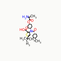 C[C@H](N)C(=O)O[C@H]1CC[C@H](N(c2cc(C(C)(C)C)sc2C(=O)O)C(=O)[C@H]2CC[C@H](C)CC2)CC1